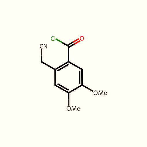 COc1cc(CC#N)c(C(=O)Cl)cc1OC